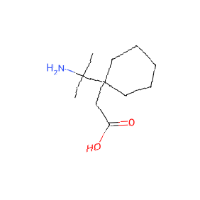 CC(C)(N)C1(CC(=O)O)CCCCC1